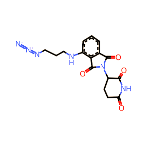 [N-]=[N+]=NCCCNc1cccc2c1C(=O)N(C1CCC(=O)NC1=O)C2=O